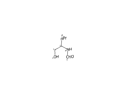 CCCC(CO)NC=O